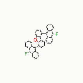 Fc1c2ccccc2c(-c2cccc3c2oc2cccc(-c4c5ccccc5c(F)c5ccccc45)c23)c2ccccc12